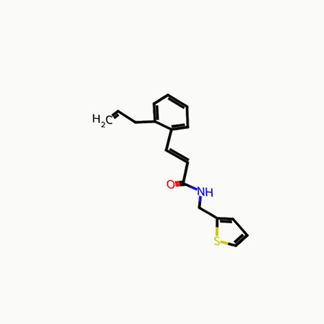 C=CCc1ccccc1/C=C/C(=O)NCc1cccs1